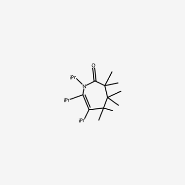 CC(C)C1=C(C(C)C)C(C)(C)C(C)(C)C(C)(C)C(=O)N1C(C)C